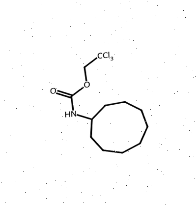 O=C(NC1CCCCCCCC1)OCC(Cl)(Cl)Cl